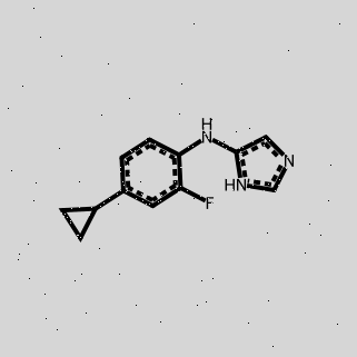 Fc1cc(C2CC2)ccc1Nc1cnc[nH]1